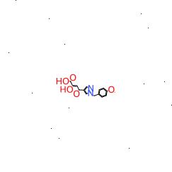 COc1ccc(Cn2cc(C(=O)C=C(O)C(=O)O)cn2)cc1